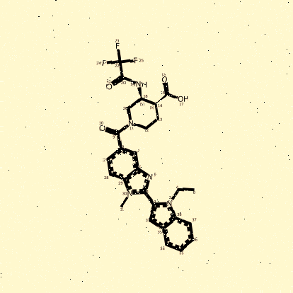 CCn1c(-c2nc3cc(C(=O)N4CC[C@H](C(=O)O)[C@H](NC(=O)C(F)(F)F)C4)ccc3n2C)cc2ccccc21